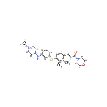 O=C(C=Cc1ccc(Sc2cccc(NC3CCN(C4CC4)CC3)c2)c(C(F)(F)F)c1C(F)(F)F)N1CCOCC1